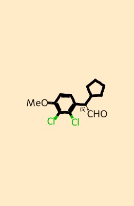 COc1ccc([C@@H](C=O)C2CCCC2)c(Cl)c1Cl